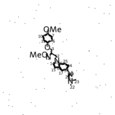 CON=C(COc1ccc(OC)cc1)Cn1ccc2cc(N=CN(C)C)ccc21